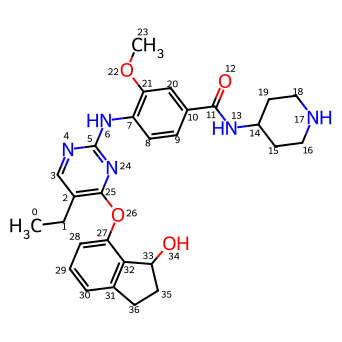 CCc1cnc(Nc2ccc(C(=O)NC3CCNCC3)cc2OC)nc1Oc1cccc2c1C(O)CC2